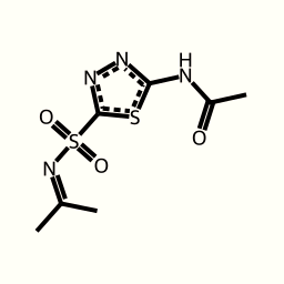 CC(=O)Nc1nnc(S(=O)(=O)N=C(C)C)s1